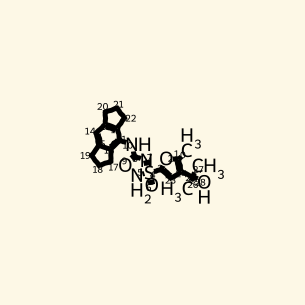 Cc1oc(S(N)(=O)=NC(=O)Nc2c3c(cc4c2CCC4)CCC3)cc1C(C)(C)O